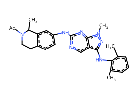 CC(=O)N1CCc2ccc(Nc3ncc4c(Nc5c(C)cccc5C)nn(C)c4n3)cc2C1C